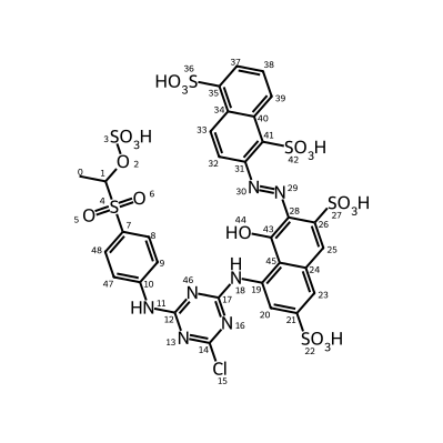 CC(OS(=O)(=O)O)S(=O)(=O)c1ccc(Nc2nc(Cl)nc(Nc3cc(S(=O)(=O)O)cc4cc(S(=O)(=O)O)c(N=Nc5ccc6c(S(=O)(=O)O)cccc6c5S(=O)(=O)O)c(O)c34)n2)cc1